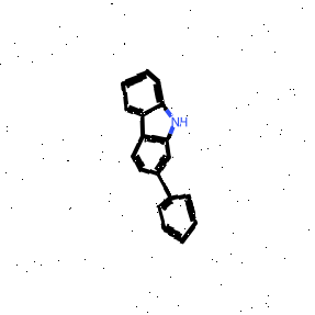 [c]1c(-c2ccccc2)ccc2c1[nH]c1ccccc12